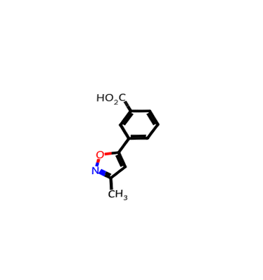 Cc1cc(-c2cccc(C(=O)O)c2)on1